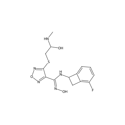 CNC(O)CSc1nonc1/C(=N/O)NC1Cc2c(F)cccc21